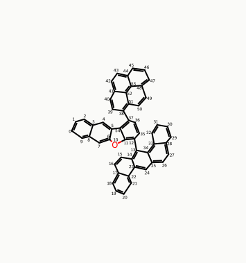 c1ccc2cc3c(cc2c1)oc1c(-c2c4ccc5ccccc5c4cc4ccc5ccccc5c24)ccc(-c2ccc4ccc5cccc6ccc2c4c56)c13